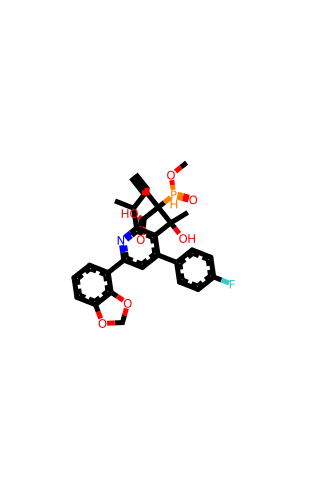 C#CC(C(=O)O)([PH](=O)OC)C(C)(O)c1c(-c2ccc(F)cc2)cc(-c2cccc3c2OCO3)nc1C(C)C